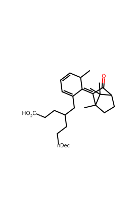 CCCCCCCCCCCCC(CCC(=O)O)CC1=CC=CC(C)C1=C1C(=O)C2CCC1(C)C2(C)C